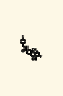 CN1c2ccc(F)cc2[C@H](O)CC12CCN(C(=O)NCc1ccc(F)cc1)CC2